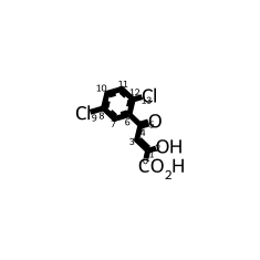 O=C(O)/C(O)=C/C(=O)c1cc(Cl)ccc1Cl